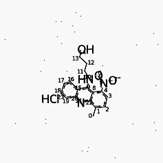 Cc1ccc([N+](=O)[O-])c2c(NCCCO)c3ccccc3nc12.Cl